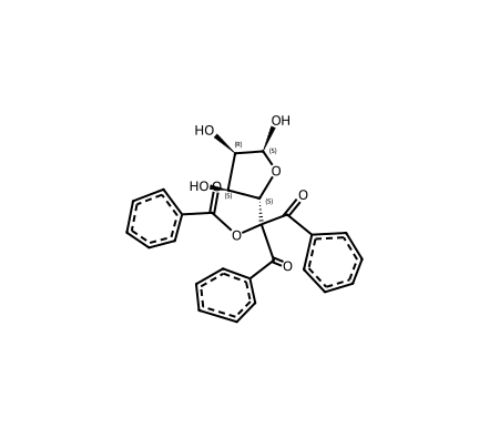 O=C(OC(C(=O)c1ccccc1)(C(=O)c1ccccc1)[C@H]1O[C@H](O)[C@H](O)[C@@H]1O)c1ccccc1